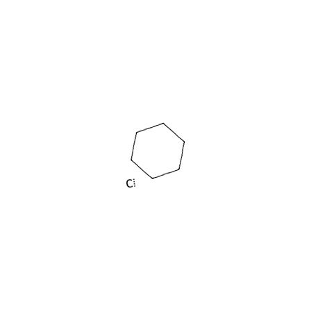 C1CCCCC1.[C]